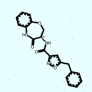 O=C(N[C@@H]1COc2ccccc2NC1=O)c1cc(Cc2ccccc2)on1